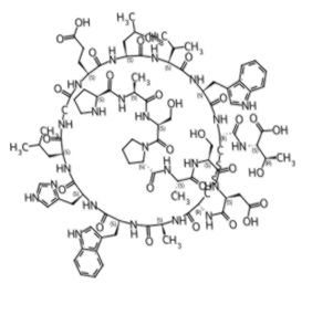 CC(C)C[C@@H]1NC(=O)[C@H](Cc2c[nH]cn2)NC(=O)[C@H](Cc2c[nH]c3ccccc23)NC(=O)[C@H](C)NC(=O)[C@@H](NC(=O)[C@H](CC(=O)O)NC(=O)[C@H](CO)NC(=O)[C@H](C)NC(=O)[C@@H]2CCCN2C(=O)[C@H](CO)NC(=O)[C@H](C)NC(=O)[C@@H]2CCCN2)CSSC[C@@H](C(=O)N[C@H](C(=O)O)[C@@H](C)O)NC(=O)[C@H](Cc2c[nH]c3ccccc23)NC(=O)[C@H](C(C)C)NC(=O)[C@H](CC(C)C)NC(=O)[C@H](CCC(=O)O)NC(=O)CNC1=O